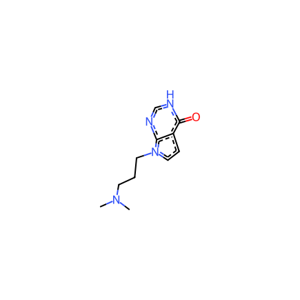 CN(C)CCCn1ccc2c(=O)[nH]cnc21